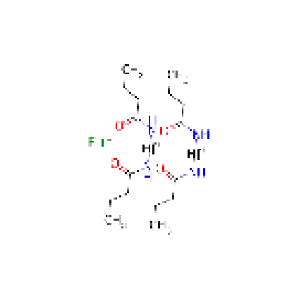 CCCC(=O)[NH][Hf+][NH]C(=O)CCC.CCCC(=O)[NH][Hf+][NH]C(=O)CCC.[F-].[F-]